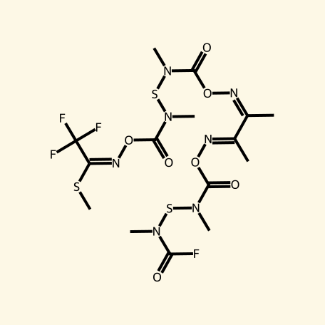 CSC(=NOC(=O)N(C)SN(C)C(=O)ON=C(C)C(C)=NOC(=O)N(C)SN(C)C(=O)F)C(F)(F)F